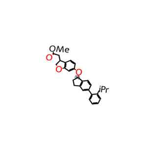 COC(=O)CC1COc2cc(O[C@@H]3CCc4cc(-c5ccccc5C(C)C)ccc43)ccc21